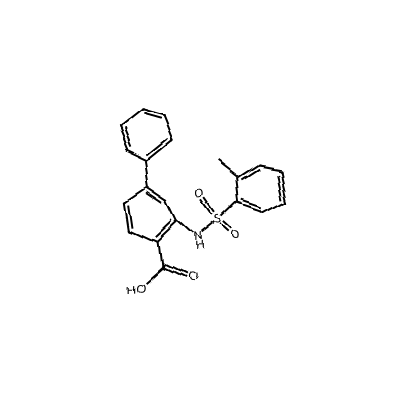 Cc1ccccc1S(=O)(=O)Nc1cc(-c2ccccc2)ccc1C(=O)O